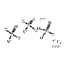 O=P([O-])([O-])[O-].O=P([O-])([O-])[O-].O=P([O-])([O-])[O-].[C+4].[Co+2].[PH6+3]